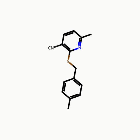 [C-]#[N+]c1ccc(C)nc1SCc1ccc(C)cc1